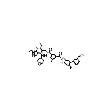 CCc1nc2c(cnn2CC)c(NC2CCOCC2)c1CNC(=O)c1cc(C)cc(C(=O)NCc2ccc(F)c(-c3cccc(C=O)c3)c2)c1